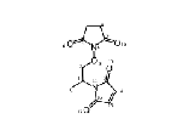 CC(CON1C(=O)CCC1=O)N1C(=O)C=CC1=O